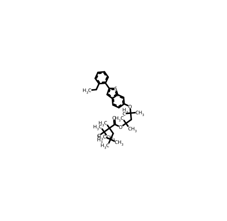 CCc1ccccc1-c1cc2ccc(OC(C)(C)CC(C)(C)OC(=O)C(C)(CC(C)(C)C)C(C)(C)C)cc2s1